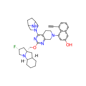 C#Cc1cccc2cc(O)cc(N3CCc4c(nc(OC[C@@]56C[C@@H](F)CN5[C@@H]5CCCC[C@@H]5C6)nc4N4CC5CCC(C4)N5)C3)c12